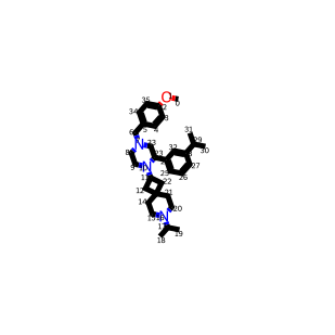 COc1ccc(CN2CCN(C3CC4(CCN(C(C)C)CC4)C3)C(c3cccc(C(C)C)c3)C2)cc1